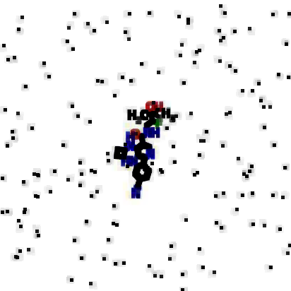 CC(C)(O)C(F)CNC(=O)c1cnc2c([nH]c3cc(C#N)ccc32)c1NC1CCC1